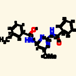 COc1cc(NC(=O)c2cccc(C)c2)nc(NC(=O)c2ccccc2)n1